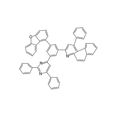 c1ccc(-c2cc(-c3cc(-c4cc(-c5ccccc5)c5c(ccc6ccccc65)n4)cc(-c4cccc5oc6ccccc6c45)c3)nc(-c3ccccc3)n2)cc1